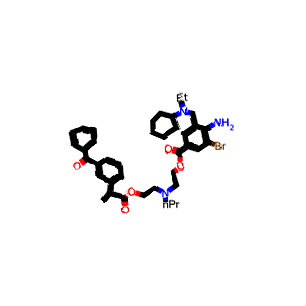 CCCN(CCOC(=O)c1cc(Br)c(N)c(CN(CC)C2CCCCC2)c1)CCOC(=O)C(C)c1cccc(C(=O)c2ccccc2)c1